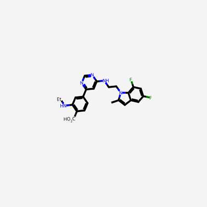 CCNc1cc(-c2cc(NCCn3c(C)cc4cc(F)cc(F)c43)ncn2)ccc1C(=O)O